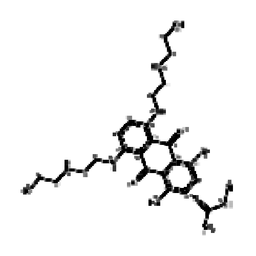 NC(=O)NO.O=C1c2c(O)ccc(O)c2C(=O)c2c(NCCNCCO)ccc(NCCNCCO)c21